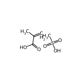 C=C(C)C(=O)O.CS(=O)(=O)O